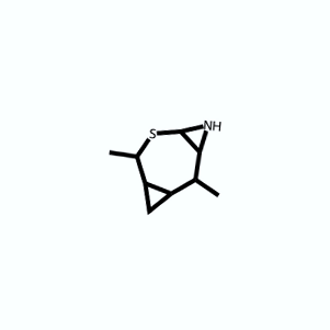 CC1SC2NC2C(C)C2CC12